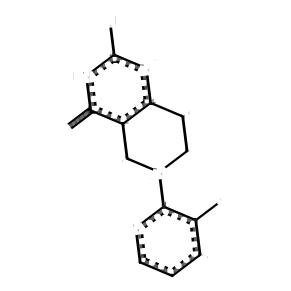 O=c1[nH]c(C(F)(F)F)nc2c1CN(c1ncccc1Cl)CC2